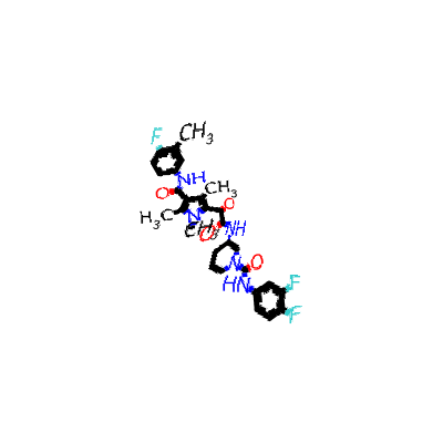 Cc1cc(NC(=O)c2c(C)c(C(=O)C(=O)N[C@@H]3CCCN(C(=O)Nc4ccc(F)c(F)c4)C3)n(C)c2C)ccc1F